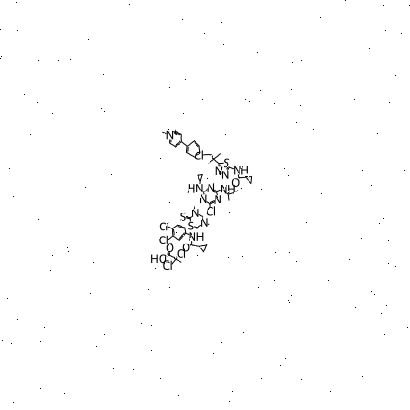 CC(C)(CCl)c1nnc(NC(=O)C2CC2)s1.CC(C)Nc1nc(Cl)nc(NC2CC2)n1.CC(Cl)(Cl)C(=O)O.CN1CSC(=S)N(C)C1.C[n+]1ccc(-c2ccccc2)cc1.O=C(Nc1ccc(Cl)c(Cl)c1)C1CC1